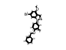 COc1cc(Br)cc2c1cnn2-c1ccc(OCc2ccccc2)c(F)c1